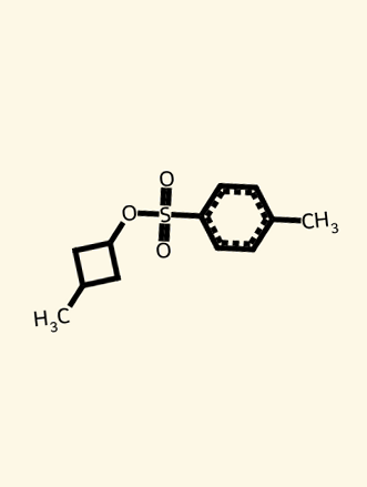 Cc1ccc(S(=O)(=O)OC2CC(C)C2)cc1